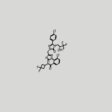 O=C(NC1CC(F)(F)C1)c1cccc(Cl)c1-n1cnc(Cn2nc(-c3ccc(Cl)cc3)n(C[C@H](O)C(F)(F)F)c2=O)n1